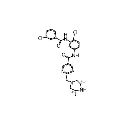 C[C@@H]1CN(Cc2ccc(C(=O)Nc3ccc(Cl)c(NC(=O)c4cccc(Cl)c4)c3)cn2)C[C@H](C)N1